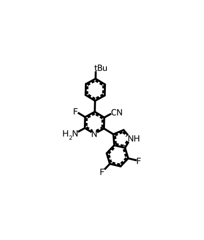 CC(C)(C)c1ccc(-c2c(F)c(N)nc(-c3c[nH]c4c(F)cc(F)cc34)c2C#N)cc1